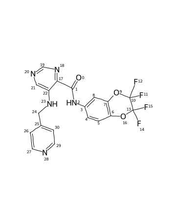 O=C(Nc1ccc2c(c1)OC(F)(F)C(F)(F)O2)c1ncncc1NCc1ccncc1